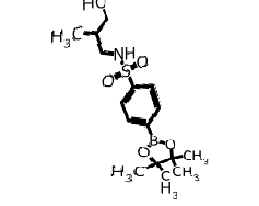 CC(CO)CNS(=O)(=O)c1ccc(B2OC(C)(C)C(C)(C)O2)cc1